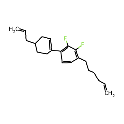 C=CCCCCc1ccc(C2=CCC(CC=C)CC2)c(F)c1F